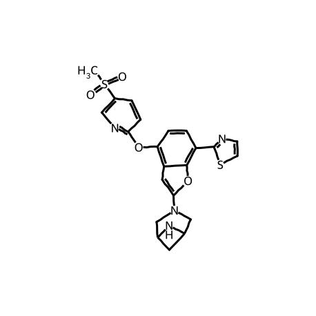 CS(=O)(=O)c1ccc(Oc2ccc(-c3nccs3)c3oc(N4CC5CC(C4)N5)cc23)nc1